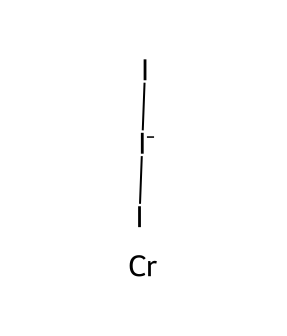 I[I-]I.[Cr]